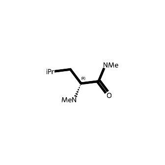 CNC(=O)[C@@H](CC(C)C)NC